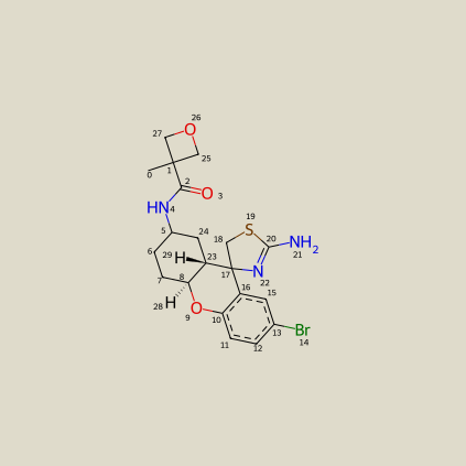 CC1(C(=O)NC2CC[C@@H]3Oc4ccc(Br)cc4C4(CSC(N)=N4)[C@H]3C2)COC1